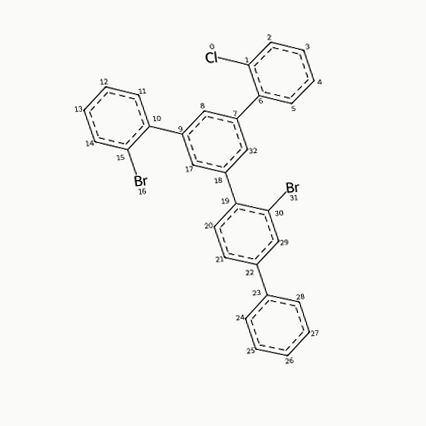 Clc1ccccc1-c1cc(-c2ccccc2Br)cc(-c2ccc(-c3ccccc3)cc2Br)c1